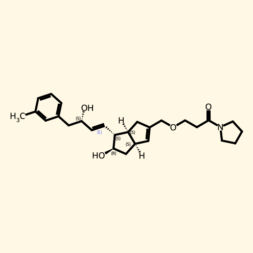 Cc1cccc(C[C@H](O)/C=C/[C@@H]2[C@H]3CC(COCCC(=O)N4CCCC4)=C[C@H]3C[C@H]2O)c1